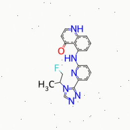 CC(CF)n1cnnc1-c1cccc(Nc2cccc3[nH]ccc(=O)c23)n1